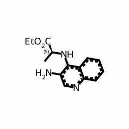 CCOC(=O)[C@H](C)Nc1c(N)cnc2ccccc12